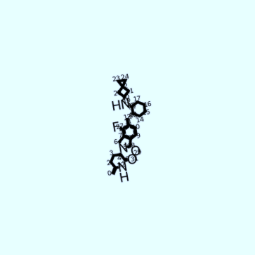 C=C1CCC(N2Cc3c(ccc(C[C@H]4CCCC[C@@H]4NC4CC5(CC5)C4)c3F)C2=O)C(=O)N1